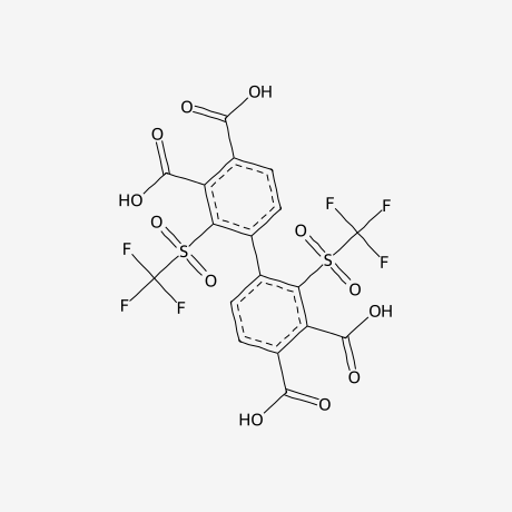 O=C(O)c1ccc(-c2ccc(C(=O)O)c(C(=O)O)c2S(=O)(=O)C(F)(F)F)c(S(=O)(=O)C(F)(F)F)c1C(=O)O